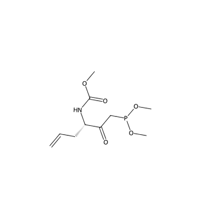 C=CC[C@H](NC(=O)OC)C(=O)CP(OC)OC